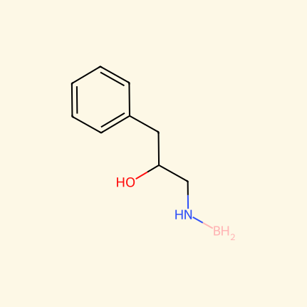 BNCC(O)Cc1ccccc1